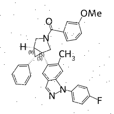 COc1cccc(C(=O)N2C[C@@H]3[C@@H](c4ccccc4)[C@]3(c3cc4cnn(-c5ccc(F)cc5)c4cc3C)C2)c1